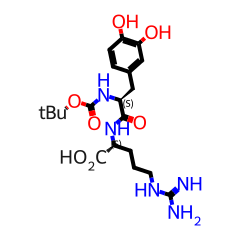 CC(C)(C)OC(=O)N[C@@H](Cc1ccc(O)c(O)c1)C(=O)N[C@@H](CCCNC(=N)N)C(=O)O